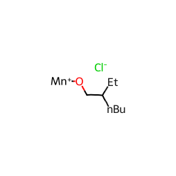 CCCCC(CC)C[O][Mn+].[Cl-]